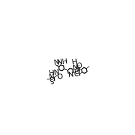 Cc1ccc(C)c(S(=O)(=O)Nc2cc(-c3cc(NC(=O)c4csc(C)n4)c4cn[nH]c4c3)cnc2Cl)c1